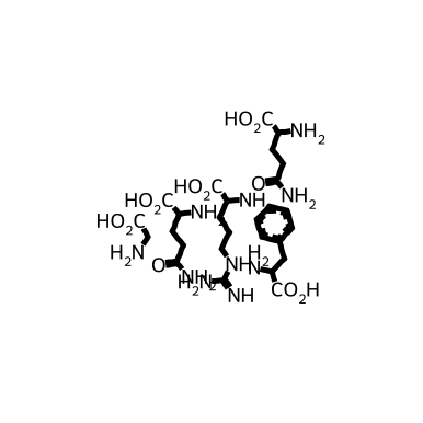 N=C(N)NCCCC(N)C(=O)O.NC(=O)CCC(N)C(=O)O.NC(=O)CCC(N)C(=O)O.NC(Cc1ccccc1)C(=O)O.NCC(=O)O